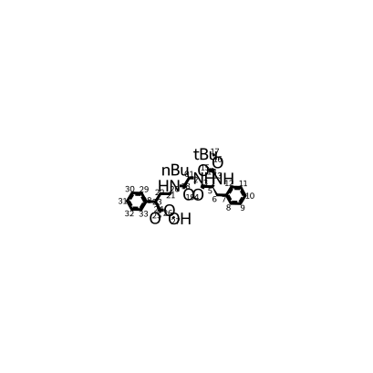 CCCC[C@H](NC(=O)[C@H](Cc1ccccc1)NC(=O)OC(C)(C)C)C(=O)NCCC(C(=O)OO)c1ccccc1